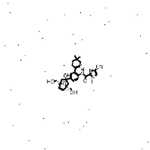 CC1(C)CC=C(c2cc([C@]3(O)C[C@@]4(CO)C=C[C@@](CO)(C3)O4)ccc2NC(=O)c2nc(C#N)c[nH]2)CC1